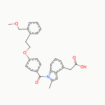 COCc1ccccc1CCOc1ccc(C(=O)n2c(C)cc3c(CC(=O)O)cccc32)cc1